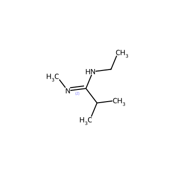 CCN/C(=N\C)C(C)C